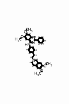 COc1cc2c(cc1OC)CN(CCc1ccc(Nc3nc(-c4ccccc4)nc4cc(OC)c(OC)cc34)cc1)CC2